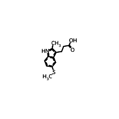 CSc1ccc2[nH]c(C)c(CCC(=O)O)c2c1